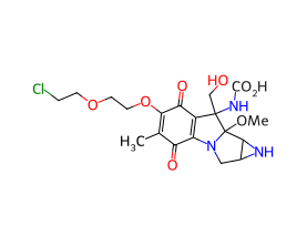 COC12C3NC3CN1C1=C(C(=O)C(OCCOCCCl)=C(C)C1=O)C2(CO)NC(=O)O